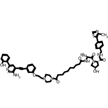 Cc1ncsc1-c1ccc(CNC(=O)[C@@H]2C[C@@H](O)CN2C(=O)[C@@H](NC(=O)CCCCCCCCC(=O)N2CCN(CCOc3cccc(C#Cc4cc(-c5ccccc5O)nnc4N)c3)CC2)C(C)(C)C)cc1